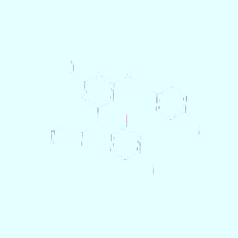 COc1ccc(S(=O)(=O)Nc2nc(C=O)nc(OC(C)OC(C)=O)c2Oc2cccc(OC)c2)cc1